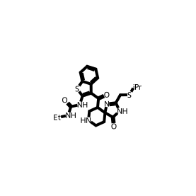 CCNC(=O)Nc1sc2ccccc2c1C(=O)C1CNCCC12N=C(CSC(C)C)NC2=O